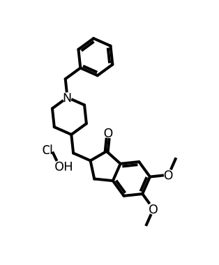 COc1cc2c(cc1OC)C(=O)C(CC1CCN(Cc3ccccc3)CC1)C2.OCl